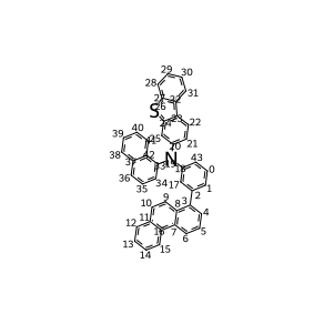 c1cc(-c2cccc3c2ccc2ccccc23)cc(N(c2ccc3c(c2)sc2ccccc23)c2cccc3ccccc23)c1